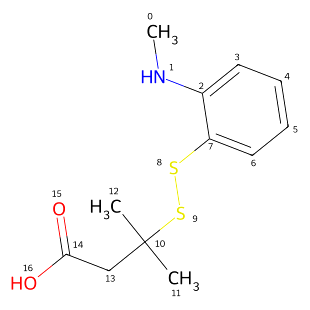 CNc1ccccc1SSC(C)(C)CC(=O)O